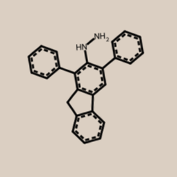 NNc1c(-c2ccccc2)cc2c(c1-c1ccccc1)Cc1ccccc1-2